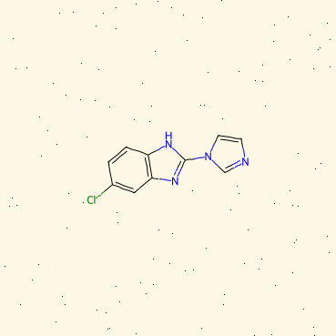 Clc1ccc2[nH]c(-n3ccnc3)nc2c1